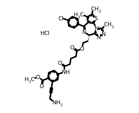 COC(=O)c1ccc(NC(=O)CCCC(=O)OCC[C@@H]2N=C(c3ccc(Cl)cc3)c3c(sc(C)c3C)-n3c(C)nnc32)cc1C#CCN.Cl